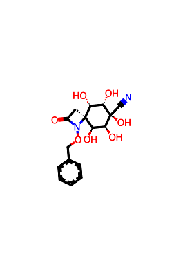 N#C[C@]1(O)[C@@H](O)[C@@H](O)[C@]2(CC(=O)N2OCc2ccccc2)[C@H](O)[C@@H]1O